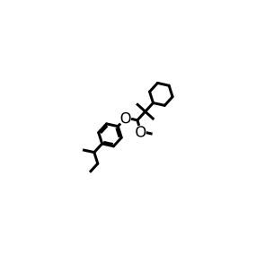 CCC(C)c1ccc(OC(OC)C(C)(C)C2CCCCC2)cc1